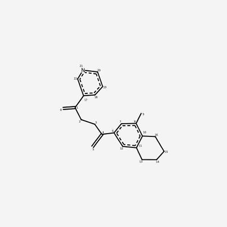 C=C(CCC(=C)c1cc(C)c2c(c1)CCCC2)c1cccnc1